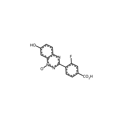 O=C(O)c1ccc(-c2nc3ccc(O)cc3[n+]([O-])n2)c(F)c1